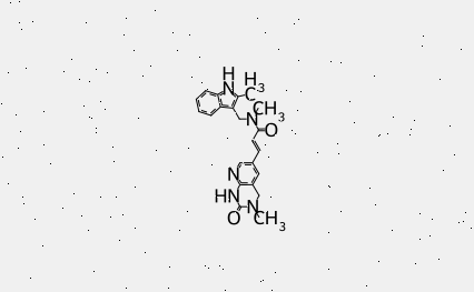 Cc1[nH]c2ccccc2c1CN(C)C(=O)/C=C/c1cnc2c(c1)CN(C)C(=O)N2